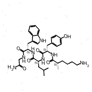 CC(C)C[C@H](NC(=O)[C@H](Cc1ccc(O)cc1)NC(=O)[C@@H](C)CCCCN)C(=O)N[C@@H](Cc1c[nH]c2ccccc12)C(=O)NCC(N)=O